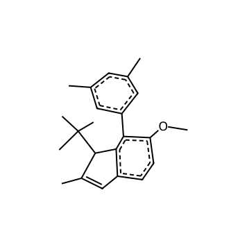 COc1ccc2c(c1-c1cc(C)cc(C)c1)C(C(C)(C)C)C(C)=C2